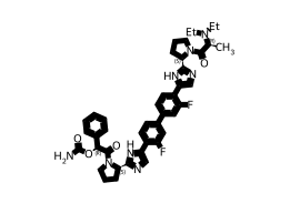 CCN(CC)[C@H](C)C(=O)N1CCC[C@H]1c1ncc(-c2ccc(-c3ccc(-c4cnc([C@@H]5CCCN5C(=O)[C@H](OC(N)=O)c5ccccc5)[nH]4)c(F)c3)cc2F)[nH]1